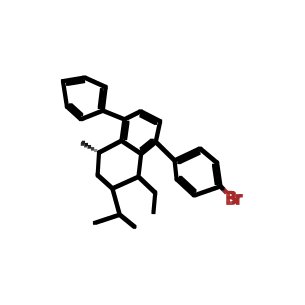 CCC1c2c(-c3ccc(Br)cc3)ccc(-c3ccccc3)c2[C@@H](C)CC1C(C)C